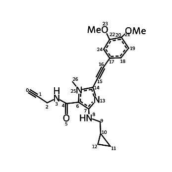 C#CCNC(=O)c1c(NCC2CC2)nc(C#Cc2ccc(OC)c(OC)c2)n1C